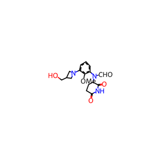 COc1c(N2CC(CO)C2)cccc1N(C=O)C1CCC(=O)NC1=O